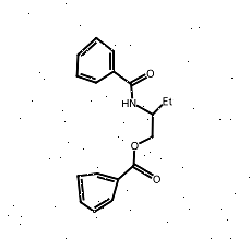 CCC(COC(=O)c1ccccc1)NC(=O)c1ccccc1